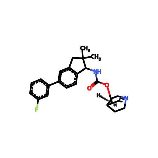 CC1(C)Cc2cc(-c3cccc(F)c3)ccc2C1NC(=O)O[C@H]1CN2CCC1CC2